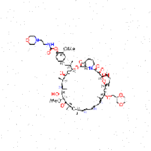 CO[C@@H]1C[C@H](C[C@@H](C)[C@@H]2CC(=O)[C@H](C)/C=C(\C)[C@@H](O)[C@@H](OC)C(=O)[C@H](C)C[C@H](C)/C=C/C=C/C=C(\C)[C@H](OCC3COCCO3)C[C@@H]3CC[C@@H](C)[C@@](O)(O3)C(=O)C(=O)N3CCCC[C@H]3C(=O)O2)CC[C@H]1OC(=O)NCCN1CCOCC1